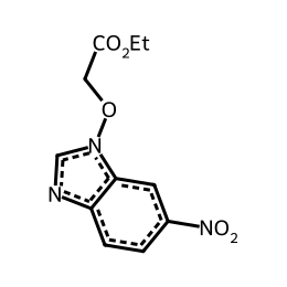 CCOC(=O)COn1cnc2ccc([N+](=O)[O-])cc21